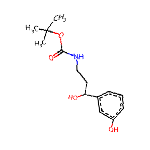 CC(C)(C)OC(=O)NCCC(O)c1cccc(O)c1